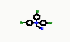 N#CC[N+](c1ccc(Br)cc1)(c1ccc(Br)cc1)c1ccc(Br)cc1